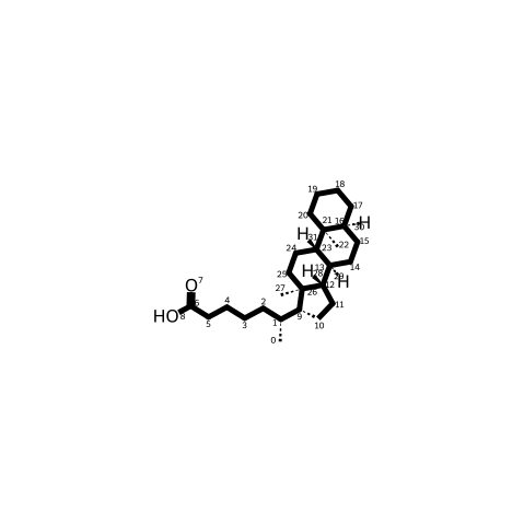 C[C@H](CCCCC(=O)O)[C@H]1CC[C@H]2[C@@H]3CC[C@@H]4CCCC[C@]4(C)[C@H]3CC[C@]12C